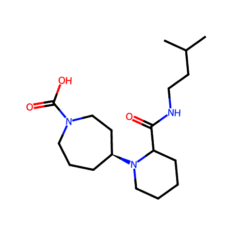 CC(C)CCNC(=O)C1CCCCN1[C@H]1CCCN(C(=O)O)CC1